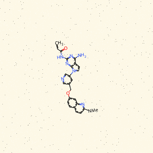 C=CC(=O)Nc1nc(N)c2ccn(-c3cncc(COc4ccc5ccc(NC)nc5c4)c3)c2n1